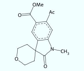 COC(=O)c1cc2c(cc1C(C)=O)N(C)C(=O)C21CCOCC1